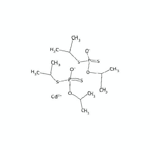 CC(C)OP([O-])(=S)SC(C)C.CC(C)OP([O-])(=S)SC(C)C.[Cd+2]